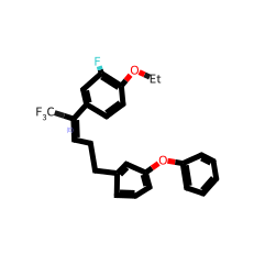 CCOc1ccc(/C(=C\CCc2cccc(Oc3ccccc3)c2)C(F)(F)F)cc1F